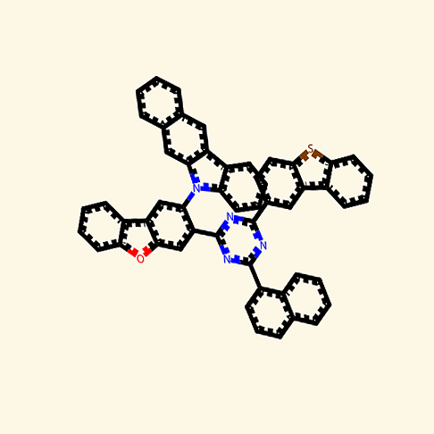 c1ccc2cc3c(cc2c1)c1ccccc1n3-c1cc2c(cc1-c1nc(-c3ccc4sc5ccccc5c4c3)nc(-c3cccc4ccccc34)n1)oc1ccccc12